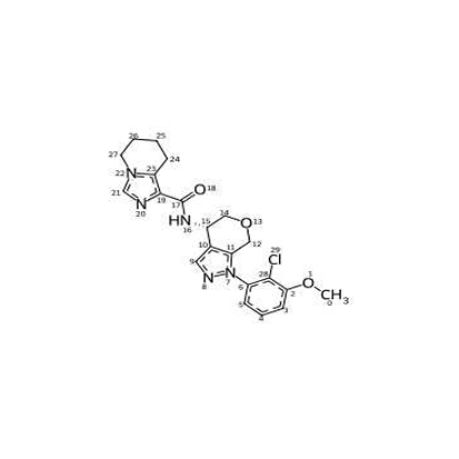 COc1cccc(-n2ncc3c2COC[C@H]3NC(=O)c2ncn3c2CCCC3)c1Cl